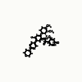 C[C@@H]1CN(c2cc(F)c(-c3cnc(N4CCOCC4)nc3)cc2NC(=O)c2c[nH]c(=O)cc2C(F)(F)F)CCN1C